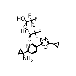 NC1(c2ccc(-c3nnc(C4CC4)o3)cn2)CC1.O=C(O)C(F)(F)F.O=C(O)C(F)(F)F